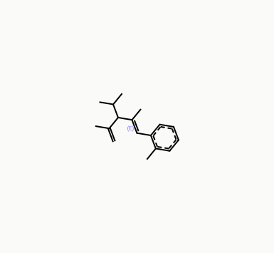 C=C(C)C(/C(C)=C/c1ccccc1C)C(C)C